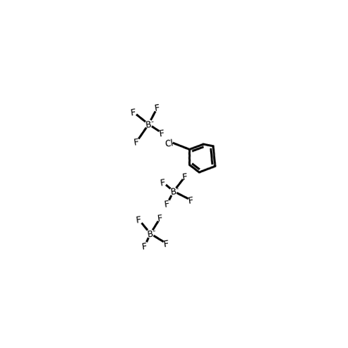 Clc1ccccc1.F[B-](F)(F)F.F[B-](F)(F)F.F[B-](F)(F)F